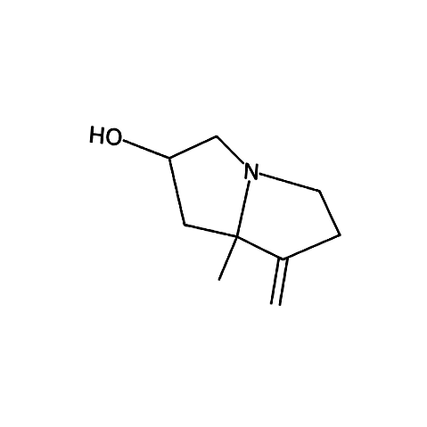 C=C1CCN2CC(O)CC12C